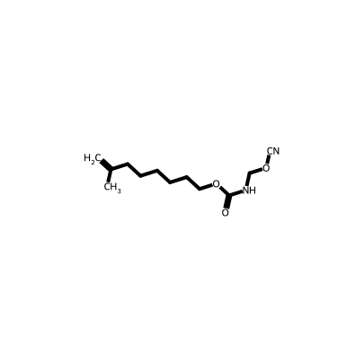 C=C(C)CCCCCCOC(=O)NCOC#N